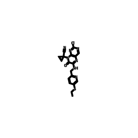 CCSc1ccc(CNc2nc3cnc(Cl)nc3n(C3(C#N)CC3)c2=O)nc1